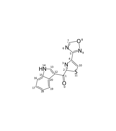 O=C(c1nc(-c2n[c]on2)cs1)c1c[nH]c2ccccc12